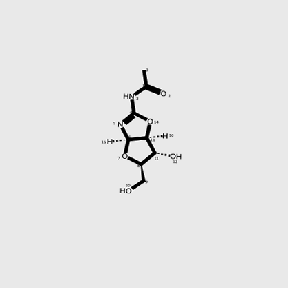 CC(=O)NC1=N[C@@H]2O[C@H](CO)[C@@H](O)[C@@H]2O1